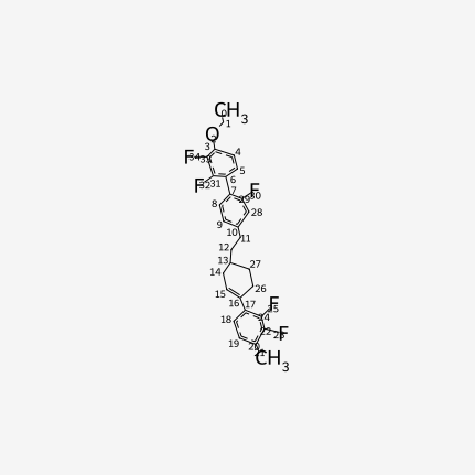 CCOc1ccc(-c2ccc(CCC3CC=C(c4ccc(C)c(F)c4F)CC3)cc2F)c(F)c1F